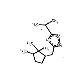 CC(C)c1nc(C[C@@H]2CC[C@@H](C)C2(C)C)no1